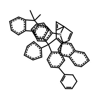 CC1(C)c2ccccc2-c2ccc(N(c3ccc4ccccc4c3)C34C=CC5=C(C3=C4)C(c3ccccc3)(c3ccccc3)c3ccc(C4=CC=CCC4)cc35)cc21